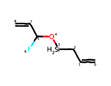 C=CC[SiH2]OC(F)C=C